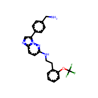 NCc1ccc(-c2cnc3ccc(NCCc4ccccc4OC(F)(F)F)nn23)cc1